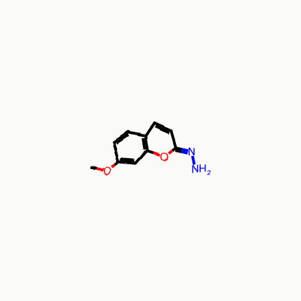 COc1ccc2ccc(=NN)oc2c1